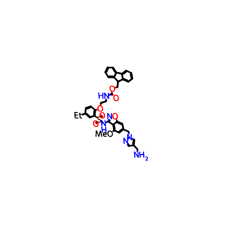 CCc1ccc(OCCNC(=O)OCC2c3ccccc3-c3ccccc32)c(S(=O)(=O)Nc2noc3cc(Cn4cc(CN)cn4)cc(OC)c23)c1